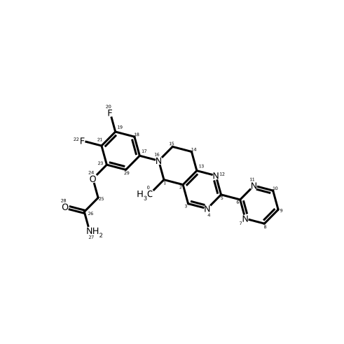 CC1c2cnc(-c3ncccn3)nc2CCN1c1cc(F)c(F)c(OCC(N)=O)c1